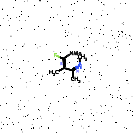 C/N=C(C)\C(C)=C(\F)NC